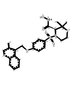 Cc1cnc2ccccc2c1COc1ccc(S(=O)(=O)N2CCSC(C)(C)[C@@H]2C(=O)NO)cc1